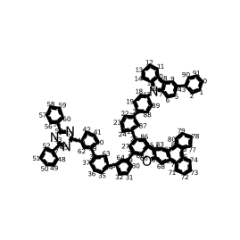 c1ccc(-c2ccc3c(c2)c2ccccc2n3-c2ccc(-c3cccc(-c4cc(-c5cccc(-c6cccc(-c7cccc(-c8nc(-c9ccccc9)nc(-c9ccccc9)n8)c7)c6)c5)c5oc6cc7c8ccccc8c8ccccc8c7cc6c5c4)c3)cc2)cc1